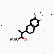 COC(=O)C(C)C1=Cc2cc(Cl)c(F)cc2CC1